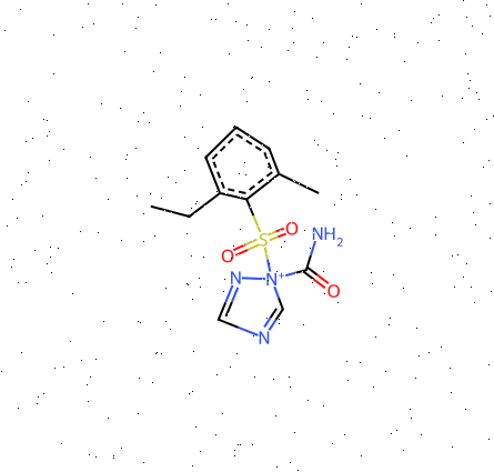 CCc1cccc(C)c1S(=O)(=O)[N+]1(C(N)=O)C=NC=N1